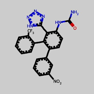 NC(=O)Nc1ccc(-c2cccc([N+](=O)[O-])c2)c(-c2ccccc2C(F)(F)F)c1-c1nnn[nH]1